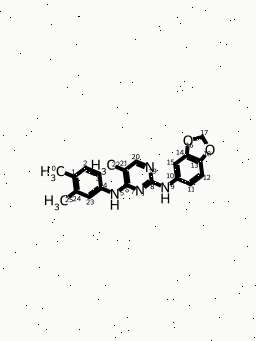 Cc1ccc(Nc2nc(Nc3ccc4c(c3)OCO4)ncc2C)cc1C